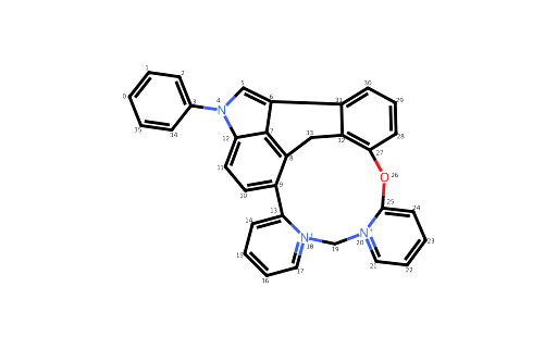 c1ccc(-n2cc3c4c5c(ccc42)-c2cccc[n+]2C[n+]2ccccc2Oc2cccc-3c2C5)cc1